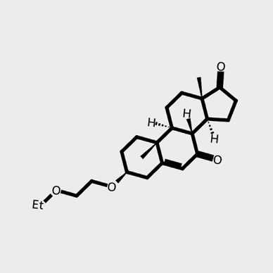 CCOCCO[C@H]1CC[C@@]2(C)C(=CC(=O)[C@@H]3[C@@H]2CC[C@]2(C)C(=O)CC[C@@H]32)C1